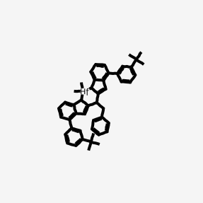 CC(C)(C)c1cccc(-c2cccc3c2C=C2C(Cc4ccccc4)C4=Cc5c(-c6cccc(C(C)(C)C)c6)cccc5[CH]4[Hf]([CH3])([CH3])[CH]23)c1